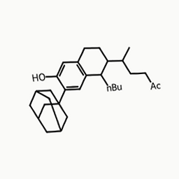 CCCCC1c2cc(C34CC5CC(CC(C5)C3)C4)c(O)cc2CCC1C(C)CCC(C)=O